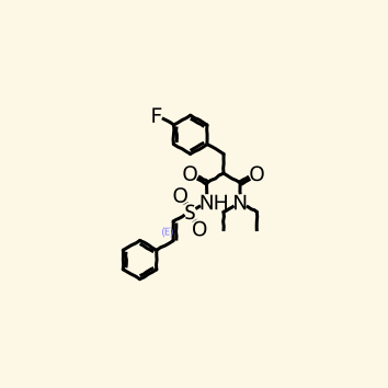 CCN(CC)C(=O)C(Cc1ccc(F)cc1)C(=O)NS(=O)(=O)/C=C/c1ccccc1